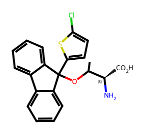 CC(OC1(c2ccc(Cl)s2)c2ccccc2-c2ccccc21)[C@H](N)C(=O)O